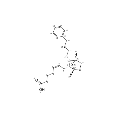 O=C(O)CCC/C=C\C[C@@H]1[C@H](CCSCc2ccccc2)[C@@H]2CC[C@H]1S2